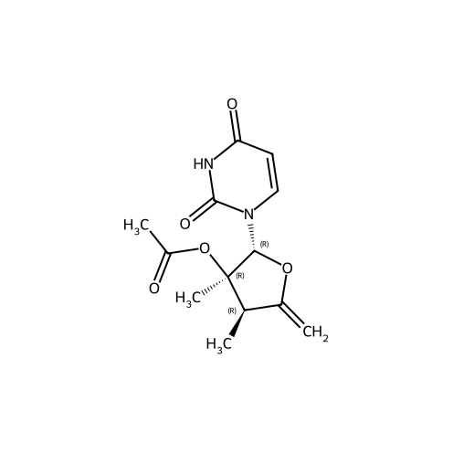 C=C1O[C@@H](n2ccc(=O)[nH]c2=O)[C@](C)(OC(C)=O)[C@@H]1C